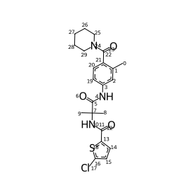 Cc1cc(NC(=O)C(C)(C)NC(=O)c2ccc(Cl)s2)ccc1C(=O)N1CCCCC1